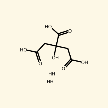 O=C(O)CC(O)(CC(=O)O)C(=O)O.[HH].[HH]